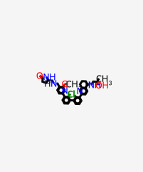 COc1nc(-c2cccc(-c3cccc(-c4ccc5c(n4)CCC[C@H]5NCC(C)O)c3Cl)c2Cl)ccc1CNC[C@H]1CCC(=O)N1